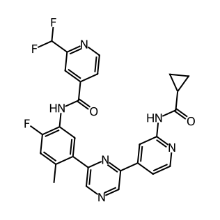 Cc1cc(F)c(NC(=O)c2ccnc(C(F)F)c2)cc1-c1cncc(-c2ccnc(NC(=O)C3CC3)c2)n1